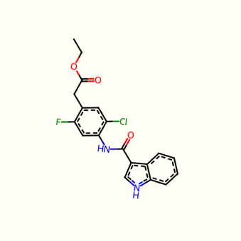 CCOC(=O)Cc1cc(Cl)c(NC(=O)c2c[nH]c3ccccc23)cc1F